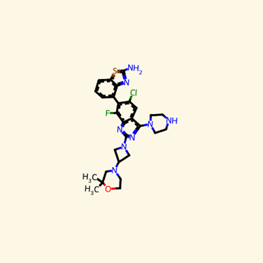 CC1(C)CN(C2CN(c3nc(N4CCNCC4)c4cc(Cl)c(-c5cccc6sc(N)nc56)c(F)c4n3)C2)CCO1